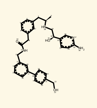 C[C@H](Cc1cccc(CC(=O)NCc2cccc(-c3ccc(CO)cc3)c2)c1)NC[C@H](O)c1ccc(N)nc1